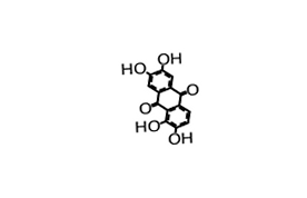 O=C1c2cc(O)c(O)cc2C(=O)c2c1ccc(O)c2O